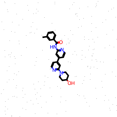 Cc1cccc(C(=O)Nc2cc(-c3ccnc(N4CCC(O)CC4)c3)ccn2)c1